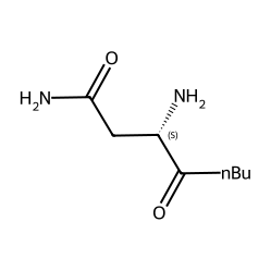 CCCCC(=O)[C@@H](N)CC(N)=O